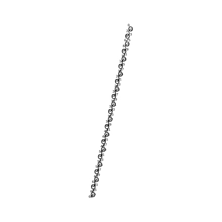 COCCOCCOCCOCCOCCOCCOCCOCCOCCOCCOCCOCCOCCOCCOCCOCCOCCOCCOCCOCCOCCOCCOC